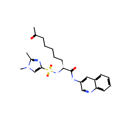 CC(=O)CCCCC[C@H](NS(=O)(=O)c1cn(C)c(C)n1)C(=O)Nc1cnc2ccccc2c1